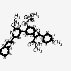 CNC(=O)c1c(-c2ccc(C)cc2)oc2cc(N(C)S(C)(=O)=O)c(-c3cc(OC)nc(-c4cc5ccccc5o4)c3)cc12